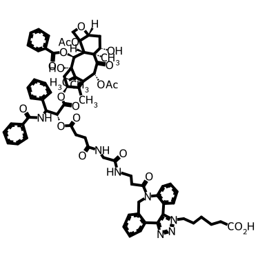 CC(=O)O[C@H]1C(=O)[C@@]2(C)[C@H]([C@H](OC(=O)c3ccccc3)[C@]3(O)C[C@H](OC(=O)[C@H](OC(=O)CCC(=O)NCC(=O)NCCC(=O)N4Cc5ccccc5-c5nnn(CCCCCC(=O)O)c5-c5ccccc54)C(NC(=O)c4ccccc4)c4ccccc4)C(C)=C1C3(C)C)[C@]1(OC(C)=O)CO[C@@H]1C[C@@H]2O